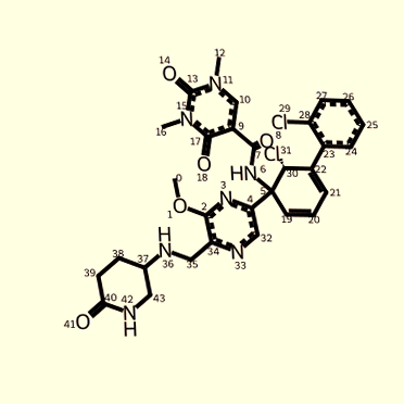 COc1nc(C2(NC(=O)c3cn(C)c(=O)n(C)c3=O)C=CC=C(c3ccccc3Cl)[C@H]2Cl)cnc1CNC1CCC(=O)NC1